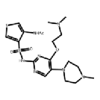 CC(=O)Nc1cscc1S(=O)(=O)Nc1ncc(N2CCN(C)CC2)c(OCCN(C)C)n1